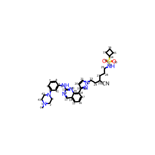 CN1CCN(c2cccc(Nc3ncc4cccc(-c5ccn(CCC(C#N)CCCNS(=O)(=O)C6CCC6)n5)c4n3)c2)CC1